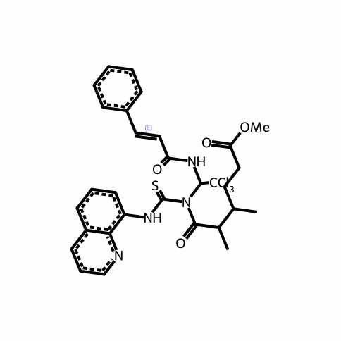 COC(=O)CCC(C)C(C)C(=O)N(C(=S)Nc1cccc2cccnc12)C(NC(=O)/C=C/c1ccccc1)C(Cl)(Cl)Cl